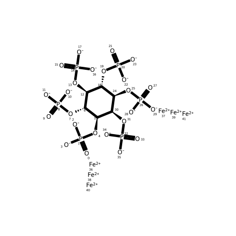 O=P([O-])([O-])O[C@H]1[C@H](OP(=O)([O-])[O-])[C@@H](OP(=O)([O-])[O-])[C@H](OP(=O)([O-])[O-])[C@@H](OP(=O)([O-])[O-])[C@H]1OP(=O)([O-])[O-].[Fe+2].[Fe+2].[Fe+2].[Fe+2].[Fe+2].[Fe+2]